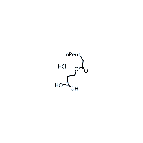 CCCCCCC(=O)OCCB(O)O.Cl